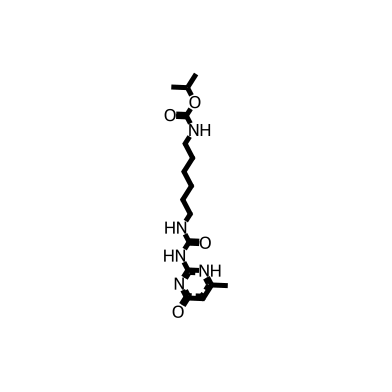 Cc1cc(=O)nc(NC(=O)NCCCCCCNC(=O)OC(C)C)[nH]1